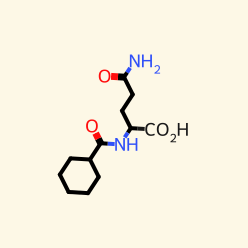 NC(=O)CCC(NC(=O)C1CCCCC1)C(=O)O